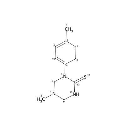 Cc1ccc(N2CN(C)CNC2=S)cc1